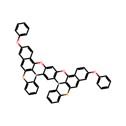 c1ccc(Oc2ccc3c4c5c(cc3c2)Sc2ccccc2B5c2cc3c(cc2O4)Oc2c4c(cc5cc(Oc6ccccc6)ccc25)Sc2ccccc2B34)cc1